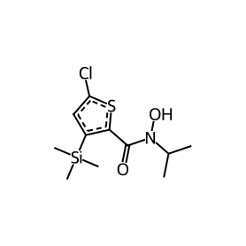 CC(C)N(O)C(=O)c1sc(Cl)cc1[Si](C)(C)C